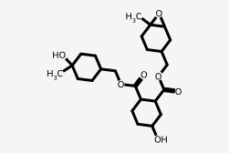 CC1(O)CCC(COC(=O)C2CCC(O)CC2C(=O)OCC2CCC3(C)OC3C2)CC1